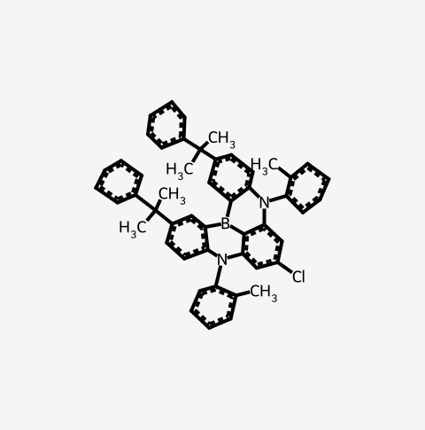 Cc1ccccc1N1c2ccc(C(C)(C)c3ccccc3)cc2B2c3cc(C(C)(C)c4ccccc4)ccc3N(c3ccccc3C)c3cc(Cl)cc1c32